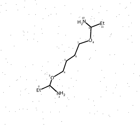 CCC(N)OCCCCOC(N)CC